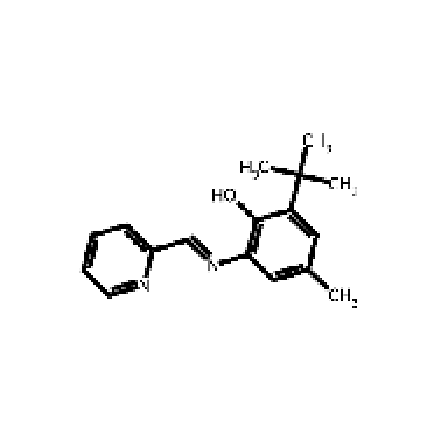 Cc1cc(/N=C/c2ccccn2)c(O)c(C(C)(C)C)c1